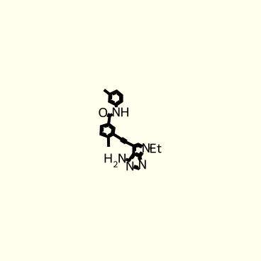 CCn1cc(C#Cc2cc(C(=O)Nc3cccc(C)c3)ccc2C)c2c(N)ncnc21